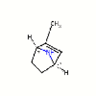 CC1=C[C@H]2CC[C@@H]1N2